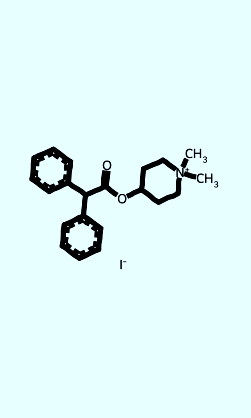 C[N+]1(C)CCC(OC(=O)C(c2ccccc2)c2ccccc2)CC1.[I-]